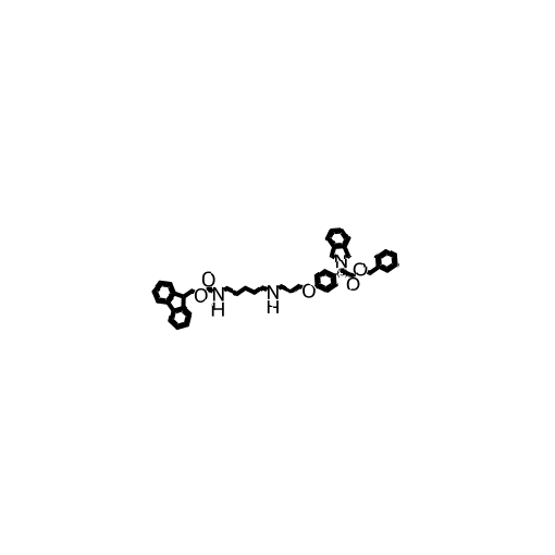 O=C(NCCCCCNCCCOc1ccc([C@@H](C(=O)OCc2ccccc2)N2Cc3ccccc3C2)cc1)OCC1c2ccccc2-c2ccccc21